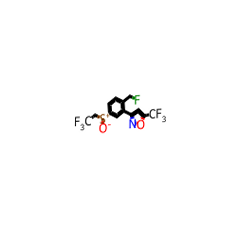 [O-][S+](CC(F)(F)F)c1ccc(CF)c(-c2cc(C(F)(F)F)on2)c1